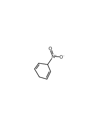 O=[N+]([O-])C1C=CCC=C1